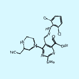 COC(=O)c1nc(SC)nc(N2CCNC(CC#N)C2)c1/C=N/Nc1c(Cl)cccc1Cl